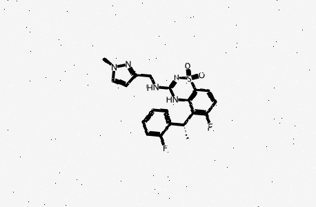 C[C@H](c1ccccc1F)c1c(F)ccc2c1NC(NCc1ccn(C)n1)=NS2(=O)=O